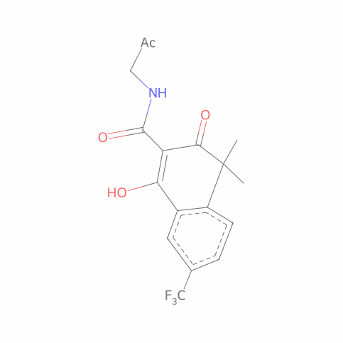 CC(=O)CNC(=O)C1=C(O)c2cc(C(F)(F)F)ccc2C(C)(C)C1=O